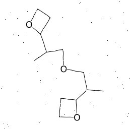 CC(COCC(C)C1CCO1)C1CCO1